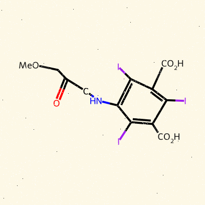 COCC(=O)CNc1c(I)c(C(=O)O)c(I)c(C(=O)O)c1I